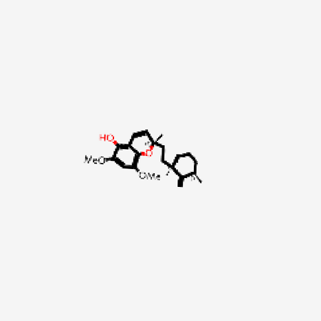 C=C1[C@H](C)CCC[C@]1(C)CC[C@@]1(C)C=Cc2c(O)c(OC)cc(OC)c2O1